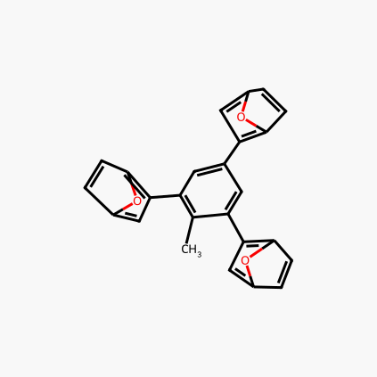 Cc1c(-c2cc3ccc2o3)cc(-c2cc3ccc2o3)cc1-c1cc2ccc1o2